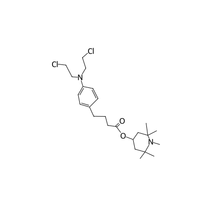 CN1C(C)(C)CC(OC(=O)CCCc2ccc(N(CCCl)CCCl)cc2)CC1(C)C